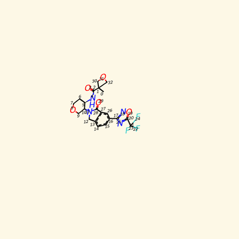 CC1(C(=O)N[C@@H]2CCOCC2N2Cc3ccc(-c4noc(C(F)(F)F)n4)cc3C2=O)COC1